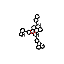 c1ccc2cc(-c3nc4cccc(-c5nc(-c6ccc(-c7cccc8cccnc78)cc6)cc(-c6ccc(-c7cccc8cccnc78)cc6)n5)c4c4c3ccc3ccccc34)ccc2c1